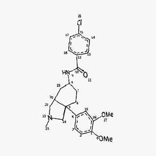 COc1ccc(C23CCC(NC(=O)c4ccc(Cl)cc4)CC2CN(C)C3)cc1OC